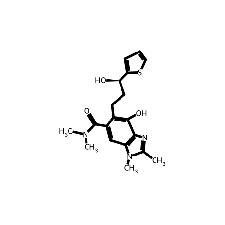 Cc1nc2c(O)c(CC[C@@H](O)c3cccs3)c(C(=O)N(C)C)cc2n1C